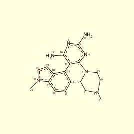 CN1CCN(c2nc(N)nc(N)c2-c2cccc3c2ccn3C)CC1